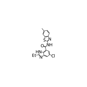 CCc1nc2cc(Cl)cc(C(=O)Nc3nc4ccc(C)cc4s3)c2[nH]1